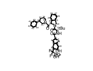 CC(C)(C)[C@H](NC(=O)c1cc2cc(C(F)(F)P(=O)(O)O)ccc2s1)C(=O)N1Cc2ccccc2[C@H]1C(=O)N1CCC[C@H](c2ccccc2)C1